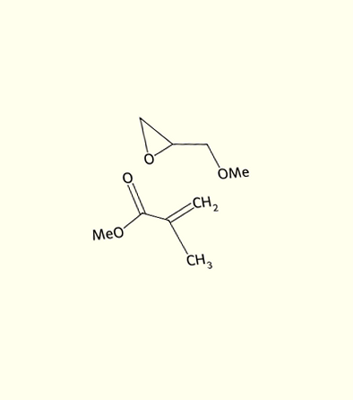 C=C(C)C(=O)OC.COCC1CO1